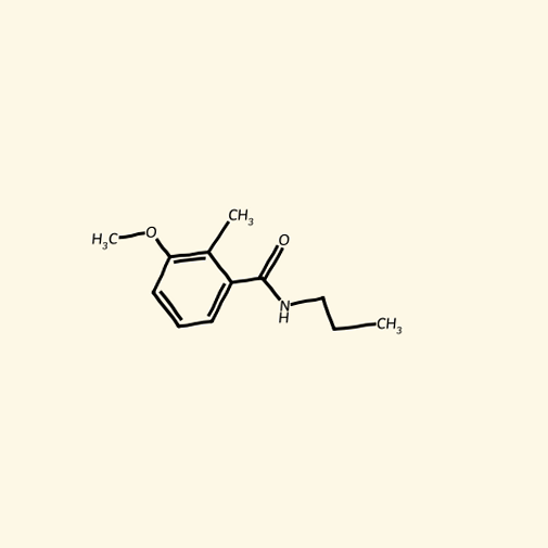 CCCNC(=O)c1cccc(OC)c1C